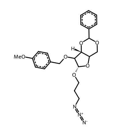 COc1ccc(COC2[C@@H](OCCCN=[N+]=[N-])OC3COC(c4ccccc4)O[C@H]32)cc1